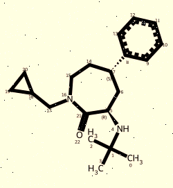 CC(C)(C)N[C@@H]1C[C@@H](c2ccccc2)CCN(CC2CC2)C1=O